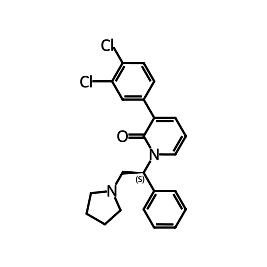 O=c1c(-c2ccc(Cl)c(Cl)c2)cccn1[C@H](CN1CCCC1)c1ccccc1